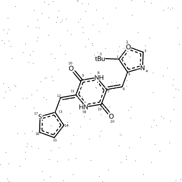 CC(C)(C)c1ocnc1C=c1[nH]c(=O)c(=Cc2cccs2)[nH]c1=O